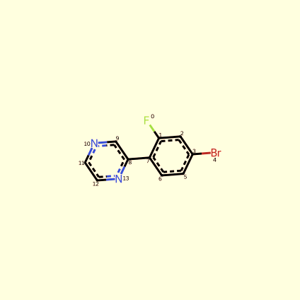 Fc1cc(Br)ccc1-c1cnccn1